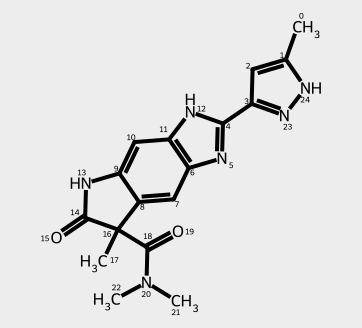 Cc1cc(-c2nc3cc4c(cc3[nH]2)NC(=O)C4(C)C(=O)N(C)C)n[nH]1